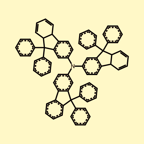 C1=CC2c3ccc(N(c4ccc5c(c4)C(c4ccccc4)(c4ccccc4)c4ccccc4-5)c4ccc5c(c4)C(c4ccccc4)(c4ccccc4)C4C=CC=CC54)cc3C(c3ccccc3)(c3ccccc3)C2C=C1